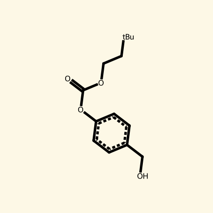 CC(C)(C)CCOC(=O)Oc1ccc(CO)cc1